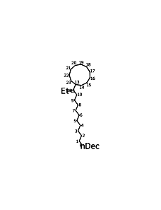 [CH2]CCCCCCCCCCCCCCCCCCCC(CC)C1CCCCCCCCCC1